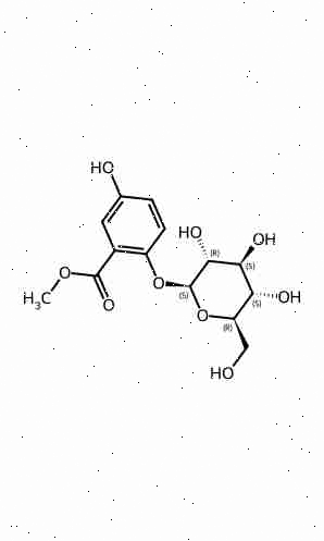 COC(=O)c1cc(O)ccc1O[C@@H]1O[C@H](CO)[C@@H](O)[C@H](O)[C@H]1O